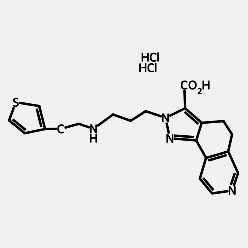 Cl.Cl.O=C(O)c1c2c(nn1CCCNCCc1ccsc1)-c1ccncc1CC2